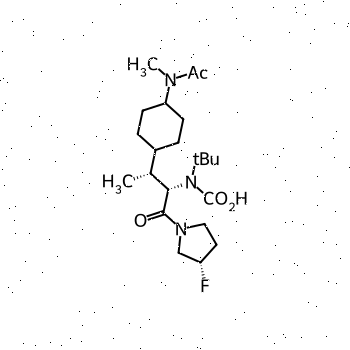 CC(=O)N(C)C1CCC([C@@H](C)[C@@H](C(=O)N2CC[C@H](F)C2)N(C(=O)O)C(C)(C)C)CC1